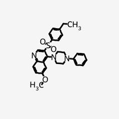 CCc1ccc(S(=O)(=O)c2cnc3ccc(OC)cc3c2N2CCN(c3ccccc3)CC2)cc1